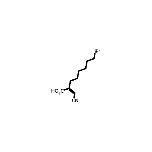 CC(C)CCCCCCC(=CC#N)C(=O)O